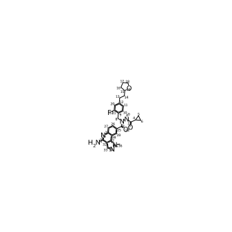 CN(C(=O)C1CC1)N(Cc1ccc(CCC2CCCO2)cc1F)C(=O)c1ccc2nc(N)c3cnn(C)c3c2c1